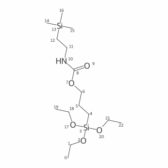 CCO[Si](CCCOC(=O)NCC[Si](C)(C)C)(OCC)OCC